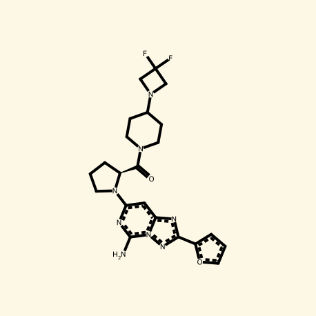 Nc1nc(N2CCC[C@H]2C(=O)N2CCC(N3CC(F)(F)C3)CC2)cc2nc(-c3ccco3)nn12